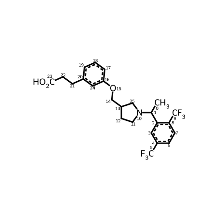 CC(c1cc(C(F)(F)F)ccc1C(F)(F)F)N1CCC(COc2cccc(CCC(=O)O)c2)C1